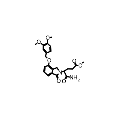 COC(=O)CCC(C(N)=O)N1Cc2c(OCc3ccc(OC)c(OC)c3)cccc2C1=O